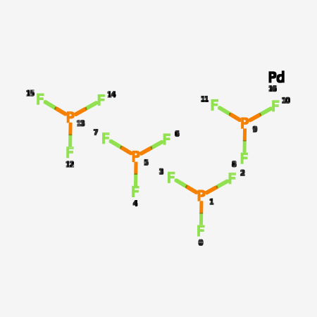 FP(F)F.FP(F)F.FP(F)F.FP(F)F.[Pd]